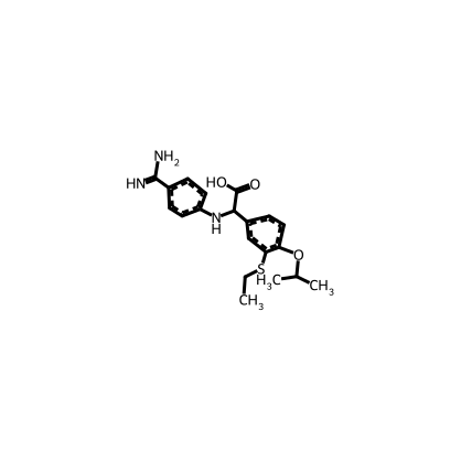 CCSc1cc(C(Nc2ccc(C(=N)N)cc2)C(=O)O)ccc1OC(C)C